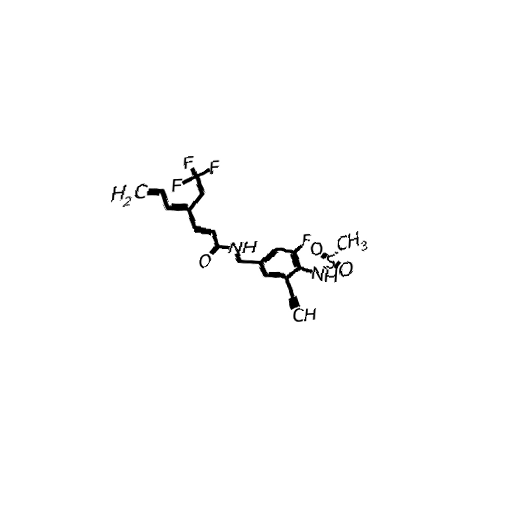 C#Cc1cc(CNC(=O)/C=C/C(=C/C=C)CC(F)(F)F)cc(F)c1NS(C)(=O)=O